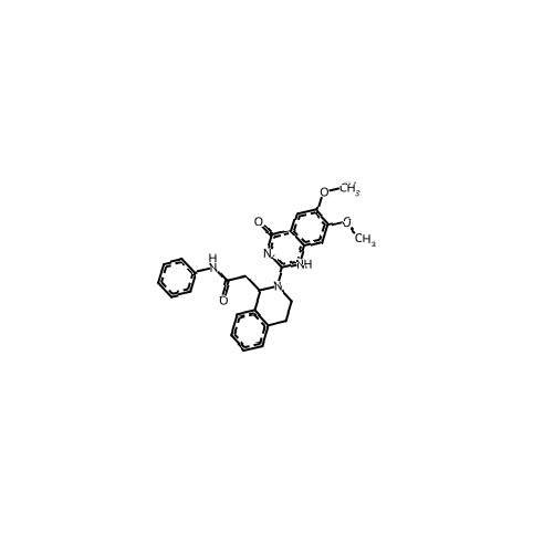 COc1cc2[nH]c(N3CCc4ccccc4C3CC(=O)Nc3ccccc3)nc(=O)c2cc1OC